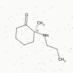 CCCN[C@@]1(C)CCCCC1=O